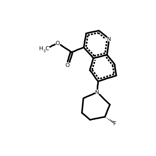 COC(=O)c1ccnc2ccc(N3CCC[C@@H](F)C3)cc12